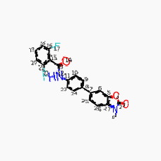 Cn1c(=O)oc2cc(-c3ccc(NC(=O)c4c(F)cccc4F)cc3)ccc21